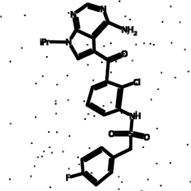 CC(C)n1cc(C(=O)c2cccc(NS(=O)(=O)Cc3ccc(F)cc3)c2Cl)c2c(N)ncnc21